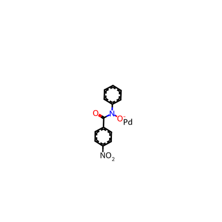 O=C(c1ccc([N+](=O)[O-])cc1)N([O-])c1ccccc1.[Pd]